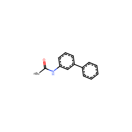 CCCCC(=O)Nc1[c]ccc(-c2ccccc2)c1